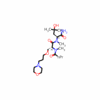 CCCC(=O)N(C)[C@H](COCCCN1CCOCC1)C(=O)N(C)[C@@H](CC(C)(C)O)C(N)=O